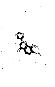 Nc1ccc2c(=O)cc(-c3cncnc3)oc2c1N